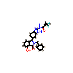 O=C(Nc1nc2ccc(C3c4cccc(O)c4C(=O)N3Cc3ccccc3)cc2[nH]1)C1CC1(F)F